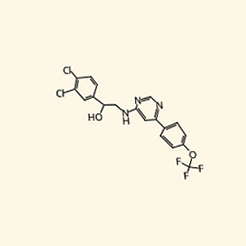 OC(CNc1cc(-c2ccc(OC(F)(F)F)cc2)ncn1)c1ccc(Cl)c(Cl)c1